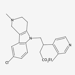 CCOC(=O)CC(Cn1c2c(c3cc(Cl)ccc31)CN(C)CC2)c1ccncc1C